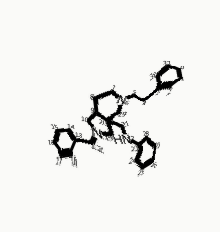 c1ccc(CCN2CCC3CN(Cc4ccccc4)CC3(CNc3ccccc3)C2)cc1